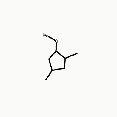 CC1CC(C)C(OC(C)C)C1